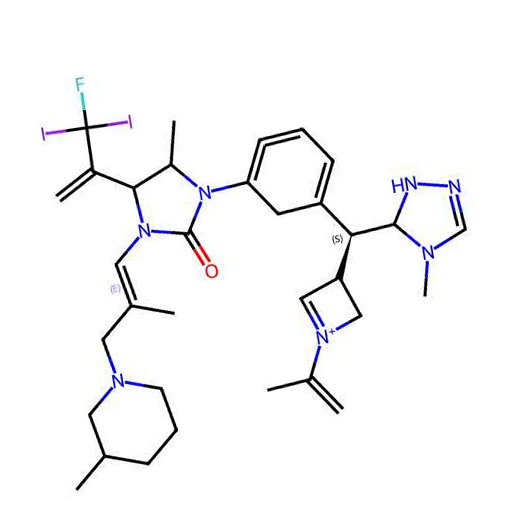 C=C(C)[N+]1=CC([C@@H](C2=CC=C=C(N3C(=O)N(/C=C(\C)CN4CCCC(C)C4)C(C(=C)C(F)(I)I)C3C)C2)C2NN=CN2C)C1